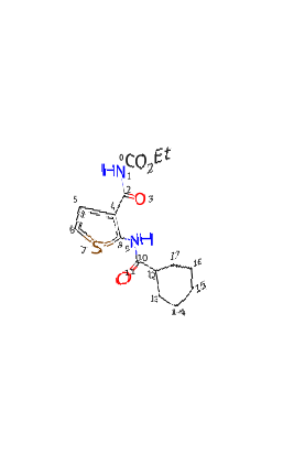 CCOC(=O)NC(=O)c1ccsc1NC(=O)C1CCCCC1